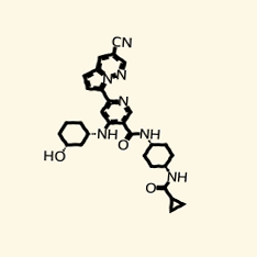 N#Cc1cnn2c(-c3cc(N[C@H]4CCC[C@@H](O)C4)c(C(=O)N[C@H]4CC[C@H](NC(=O)C5CC5)CC4)cn3)ccc2c1